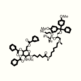 COc1ccc(C(OC[C@H](CN(C)CCCCCCN(C)C(=O)CCCCOC2OC(COC(=O)c3ccccc3)C(OC(=O)c3ccccc3)C(OC(=O)c3ccccc3)C2NC(C)=O)OP(OCCC#N)N(C(C)C)C(C)C)(c2ccccc2)c2ccc(OC)cc2)cc1